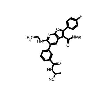 CNC(=O)c1c(-c2ccc(F)cc2)oc2nc(NCC(F)(F)F)c(-c3cccc(C(=O)N[C@@H](C)C#N)c3)cc12